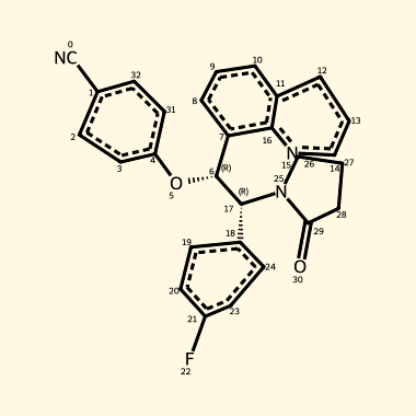 N#Cc1ccc(O[C@H](c2cccc3cccnc23)[C@@H](c2ccc(F)cc2)N2CCCC2=O)cc1